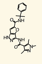 Cc1nn(C)c(C)c1C(=O)Nc1n[nH]c2cc(C(=O)NC(C)(C)c3ccccc3)oc12